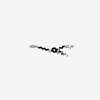 CCCCCCCCCCCCCCCCOc1ccc2c(c1)sc(=NN)n2CCCS(=O)(=O)O